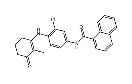 CC1=C(Nc2ccc(NC(=O)c3cccc4ccccc34)cc2Cl)CCCC1=O